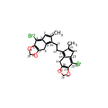 CC1=CC2=C(Br)C3=C(CC2=C1CCC1=C2CC4=C(OCO4)C(Br)=C2C=C1C)OCO3